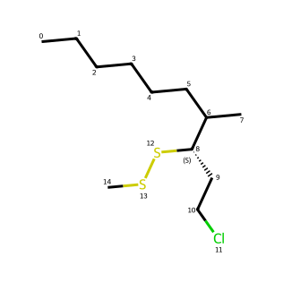 CCCCCCC(C)[C@H](CCCl)SSC